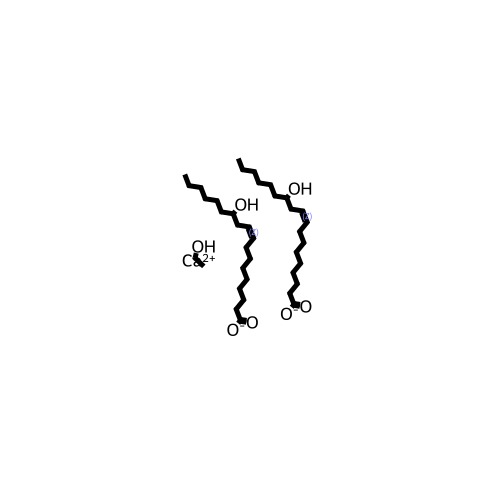 CCCCCCC(O)C/C=C\CCCCCCCC(=O)[O-].CCCCCCC(O)C/C=C\CCCCCCCC(=O)[O-].CCO.[Ca+2]